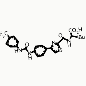 CCC(C)C(NC(=O)c1nc(-c2ccc(NC(=O)Nc3ccc(C(F)(F)F)cc3)cc2)cs1)C(=O)O